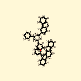 c1ccc(-c2nc(-c3cccc(-n4c5ccccc5c5ccc6c7ccccc7n(-c7ccccc7)c6c54)c3)nc(-c3ccc4sc5ccccc5c4c3)n2)cc1